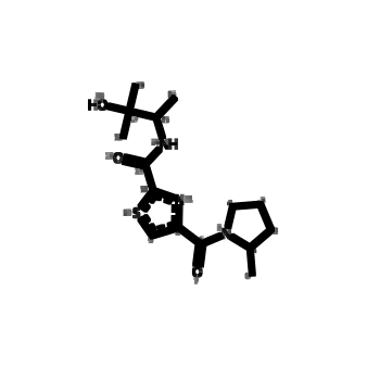 CC1CCCN1C(=O)c1csc(C(=O)NC(C)C(C)(C)O)n1